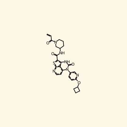 C=CC(=O)N1CCCC(NC(=O)c2sc3nccc4c3c2NC(=O)N4c2ccc(OC3CCC3)nc2)C1